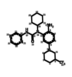 Nc1ccc(N2CCCC(C(F)(F)F)C2)cc1N(C(=O)Nc1cnccn1)C1CCCCC1